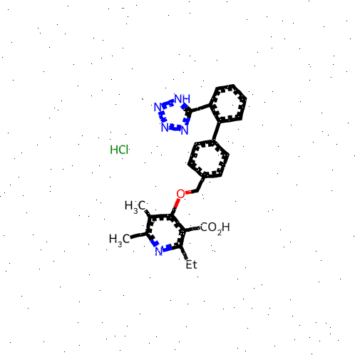 CCc1nc(C)c(C)c(OCc2ccc(-c3ccccc3-c3nnn[nH]3)cc2)c1C(=O)O.Cl